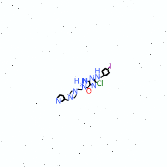 Nc1nc(NCc2ccc(I)cc2)c(Cl)nc1C(=O)NCCN1CCN(Cc2cccnc2)CC1